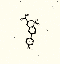 Cc1ccc(-c2ccc3c(c2)C=C(C(=O)O)CS3(=O)=O)cc1